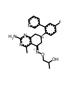 Cc1nc(N)nc2c1/C(=N/OCC(C)O)C[C@H](c1ccc(F)cc1-c1cccnc1)C2